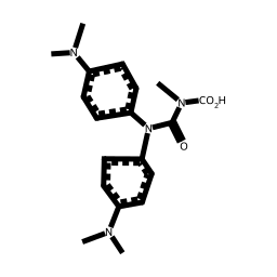 CN(C(=O)O)C(=O)N(c1ccc(N(C)C)cc1)c1ccc(N(C)C)cc1